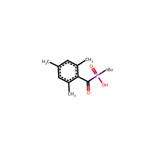 CCCCP(=O)(O)C(=O)c1c(C)cc(C)cc1C